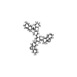 c1ccc(N(c2ccc(-c3cc(-c4ccc5oc6ccccc6c5c4)cc(-c4ccc5oc6ccccc6c5c4)c3)cc2)c2ccc3ccccc3c2)cc1